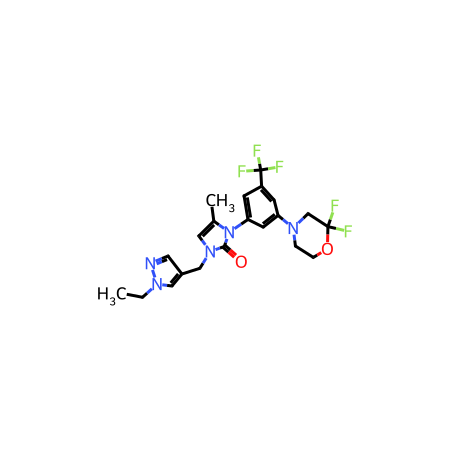 CCn1cc(Cn2cc(C)n(-c3cc(N4CCOC(F)(F)C4)cc(C(F)(F)F)c3)c2=O)cn1